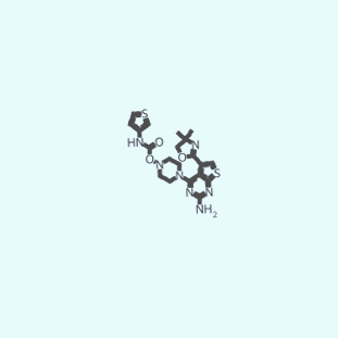 CC1(C)COC(c2csc3nc(N)nc(N4CCN(OC(=O)Nc5ccsc5)CC4)c23)=N1